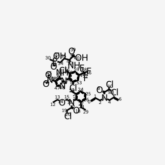 C=CCN(CC=C)C(=O)C(Cl)Cl.CCOCN(C(=O)CCl)c1c(C)cccc1CC.CP(=O)(O)CCC(N)C(=O)O.Nc1c([N+](=O)[O-])cnn1-c1c(Cl)cc(C(F)(F)F)cc1Cl